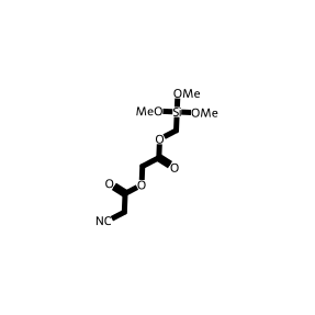 CO[Si](COC(=O)COC(=O)CC#N)(OC)OC